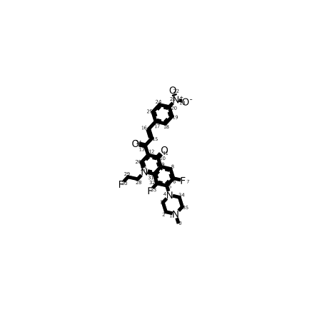 CN1CCN(c2c(F)cc3c(=O)c(C(=O)C=Cc4ccc([N+](=O)[O-])cc4)cn(CCF)c3c2F)CC1